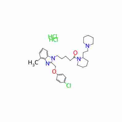 Cc1cccc2c1nc(COc1ccc(Cl)cc1)n2CCCCC(=O)N1CCCCC1CCN1CCCCC1.Cl.Cl